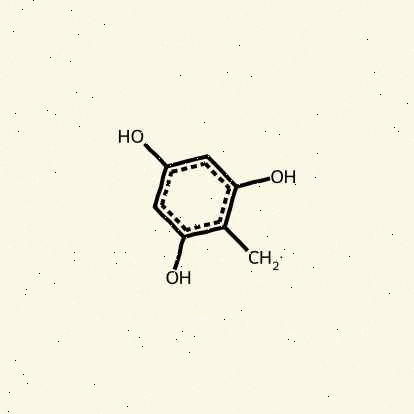 [CH2]c1c(O)cc(O)cc1O